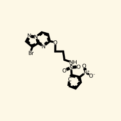 O=[N+]([O-])c1ccccc1S(=O)(=O)NCCCOc1ccn2ncc(Br)c2n1